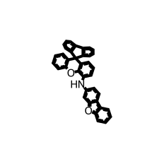 c1ccc2c(c1)Oc1c(Nc3ccc4c(c3)oc3ccccc34)cccc1C21c2ccccc2-c2ccccc21